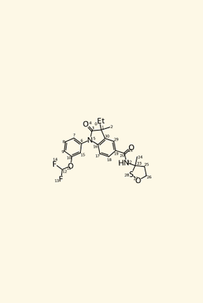 CCC1(C)C(=O)N(c2cccc(OC(F)F)c2)c2ccc(C(=O)NC3(C)CCOS3)cc21